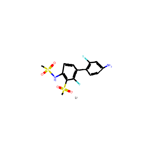 CS(=O)(=O)Nc1ccc(-c2ccc(N)cc2F)c(F)c1S(C)(=O)=O.[Li]